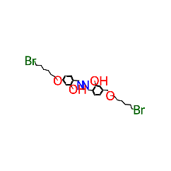 Oc1cc(COCCCCCCBr)ccc1/C=N/N=C/c1ccc(OCCCCCCBr)cc1O